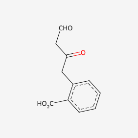 O=CCC(=O)Cc1ccccc1C(=O)O